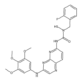 COc1cc(Nc2cnc3ccc(NC(=O)N(S)Cc4ccccc4F)nc3n2)cc(OC)c1OC